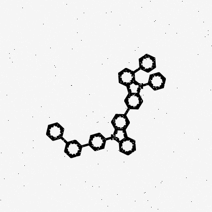 c1ccc(-c2cccc(-c3ccc(-n4c5ccccc5c5cc(-c6ccc7c(c6)c6cccc(-c8ccccc8)c6n7-c6ccccc6)ccc54)cc3)c2)cc1